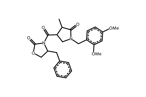 COc1ccc(CN2CC(C(=O)N3C(=O)OCC3Cc3ccccc3)C(C)C2=O)c(OC)c1